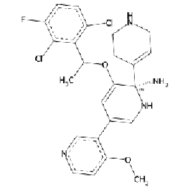 COc1ccncc1C1=CN[C@](N)(C2=CCNCC2)C(OC(C)c2c(Cl)ccc(F)c2Cl)=C1